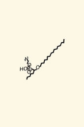 CCCCCCCCCCCCCCCCOCC(COP(O)OCCN(C)C)CC(=O)CCC